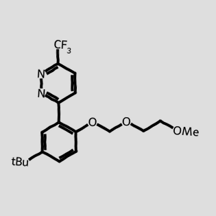 COCCOCOc1ccc(C(C)(C)C)cc1-c1ccc(C(F)(F)F)nn1